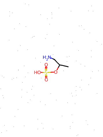 CC(CN)OS(=O)(=O)O